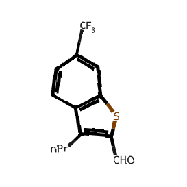 CCCc1c(C=O)sc2cc(C(F)(F)F)ccc12